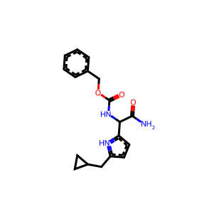 NC(=O)C(NC(=O)OCc1ccccc1)c1ccc(CC2CC2)[nH]1